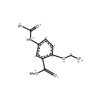 COC(=O)c1cc(NC(=O)C(C)C)ccc1OCC(F)(F)F